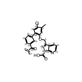 Cc1cc(OCc2nn(C(=O)O)c3ncccc23)c(-c2cccc(C(=O)N(C)C)c2)cc1Cl